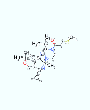 CSCCC(=O)N1CCN(C2(C)N=C(C3CC3)C3=C(CC(C)(C)OC3)C2=N)CC1C(C)C